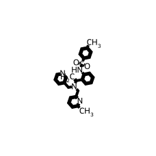 C=C(c1ccccc1NS(=O)(=O)c1ccc(C)cc1)N(Cc1cccnc1)Cc1cccc(C)n1